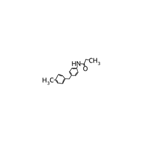 CCC(=O)Nc1ccc(Cc2ccc(C)cc2)cc1